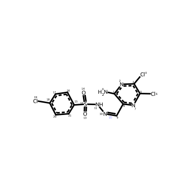 Nc1nc(Cl)c(Cl)nc1/C=N\NS(=O)(=O)c1ccc(Cl)cc1